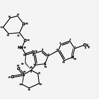 Cc1ccc(-c2ccc([C@@]3(CC(=O)NOC4CCCCO4)CCCCS3(=O)=O)s2)cn1